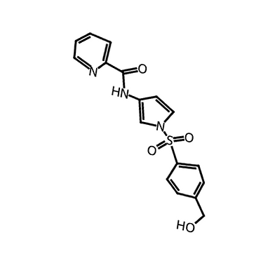 O=C(Nc1ccn(S(=O)(=O)c2ccc(CO)cc2)c1)c1ccccn1